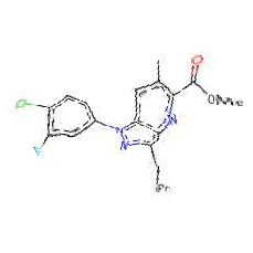 COC(=O)c1nc2c(CC(C)C)nn(-c3ccc(Cl)c(F)c3)c2cc1C